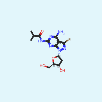 CC(C)C(=O)Nc1nc(N)c2c(Br)nn([C@@H]3C[C@H](O)[C@@H](CO)O3)c2n1